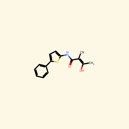 C/C(O)=C(\C#N)C(=O)Nc1ccc(-c2ccccc2)s1